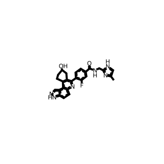 Cc1c[nH]c(CNC(=O)c2ccc(-c3nc4ccc5[nH]ncc5c4c4c3CC(O)CC4)c(F)c2)n1